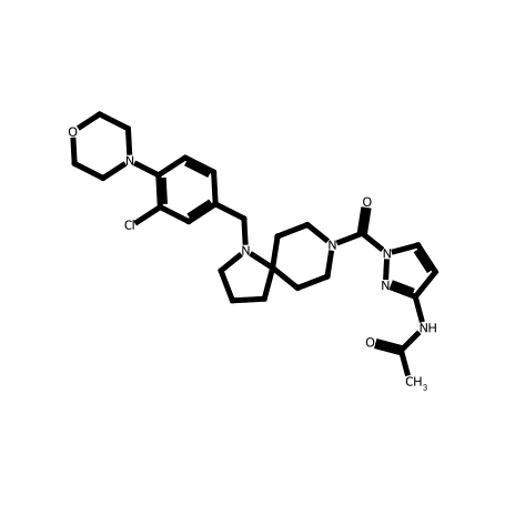 CC(=O)Nc1ccn(C(=O)N2CCC3(CCCN3Cc3ccc(N4CCOCC4)c(Cl)c3)CC2)n1